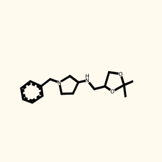 CC1(C)OCC(CNC2CCN(Cc3ccccc3)C2)O1